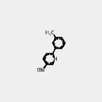 Cc1cccc(-c2ccc(C(C)(C)C)cn2)c1